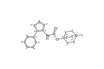 C[N+]12CCC(OC(=O)Nc3ccsc3-c3ccccc3)(CC1)CC2